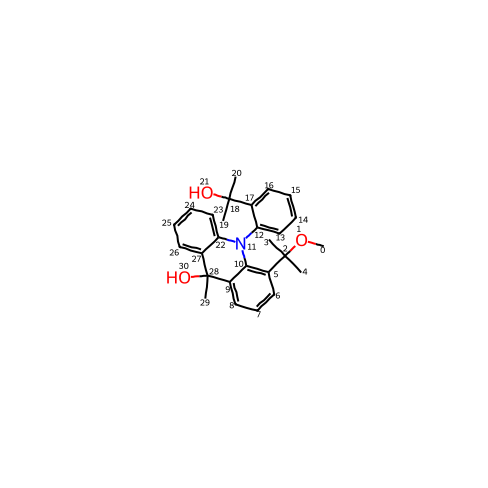 COC(C)(C)c1cccc2c1N(c1ccccc1C(C)(C)O)c1ccccc1C2(C)O